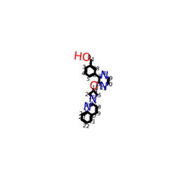 OCc1cccc(-c2nccnc2OC2CN(c3ccc4ccccc4n3)C2)c1